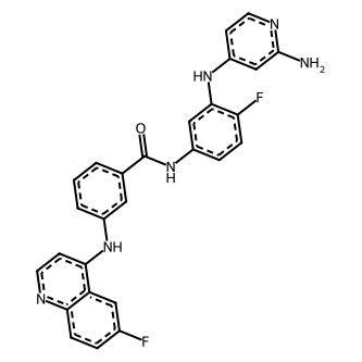 Nc1cc(Nc2cc(NC(=O)c3cccc(Nc4ccnc5ccc(F)cc45)c3)ccc2F)ccn1